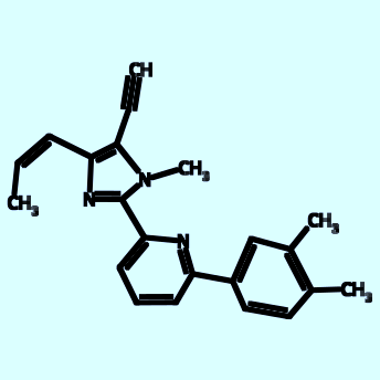 C#Cc1c(/C=C\C)nc(-c2cccc(-c3ccc(C)c(C)c3)n2)n1C